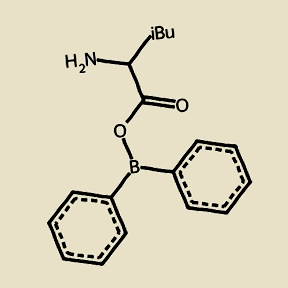 CCC(C)C(N)C(=O)OB(c1ccccc1)c1ccccc1